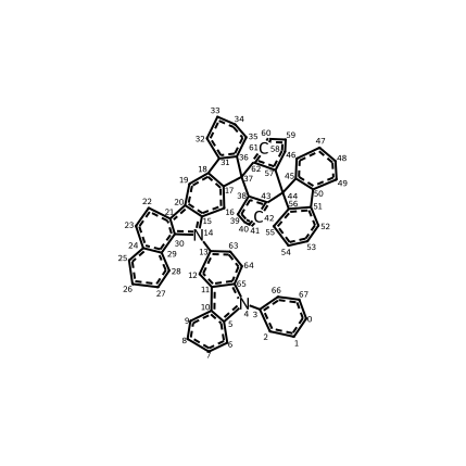 c1ccc(-n2c3ccccc3c3cc(-n4c5cc6c(cc5c5ccc7ccccc7c54)-c4ccccc4C64c5ccccc5C5(c6ccccc6-c6ccccc65)c5ccccc54)ccc32)cc1